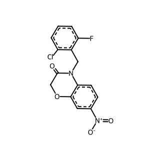 O=C1COc2cc([N+](=O)[O-])ccc2N1Cc1c(F)cccc1Cl